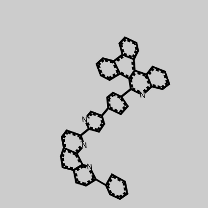 c1ccc(-c2ccc3ccc4ccc(-c5ccc(-c6ccc(-c7nc8ccccc8c8c9ccccc9c9ccccc9c78)cc6)cn5)nc4c3n2)cc1